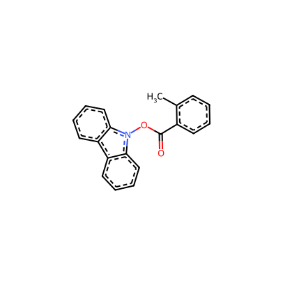 Cc1ccccc1C(=O)On1c2ccccc2c2ccccc21